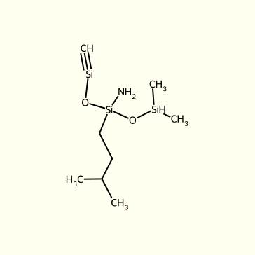 C#[Si]O[Si](N)(CCC(C)C)O[SiH](C)C